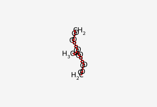 C=CC(=O)OCCCCOC(=O)C1CCC(C2CCC(C(=O)Oc3ccc(OC(=O)C4CCC(C5CCC(C(=O)OCCCCOC(=O)C=C)CC5)CC4)c4cc(C)ccc34)CC2)CC1